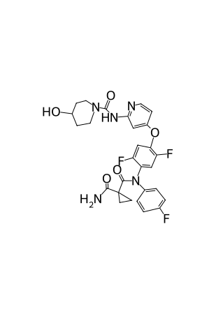 NC(=O)C1(C(=O)N(c2ccc(F)cc2)c2cc(F)c(Oc3ccnc(NC(=O)N4CCC(O)CC4)c3)cc2F)CC1